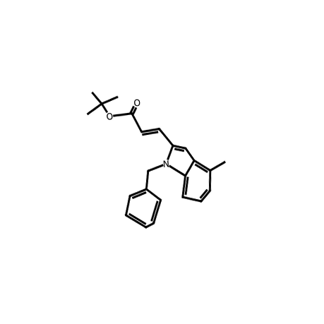 Cc1cccc2c1cc(/C=C/C(=O)OC(C)(C)C)n2Cc1ccccc1